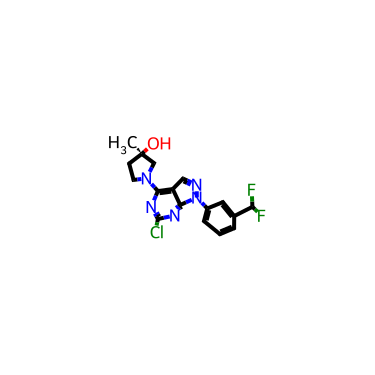 C[C@@]1(O)CCN(c2nc(Cl)nc3c2cnn3-c2cccc(C(F)F)c2)C1